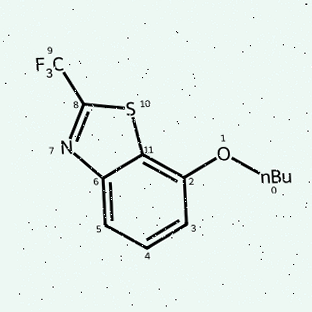 CCCCOc1cccc2nc(C(F)(F)F)sc12